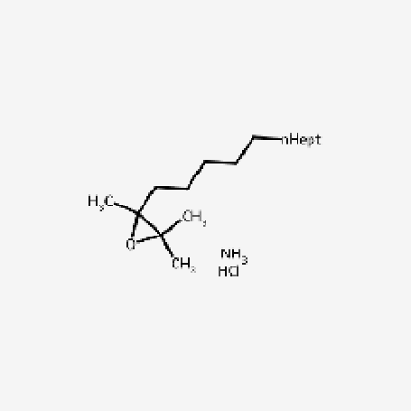 CCCCCCCCCCCCC1(C)OC1(C)C.Cl.N